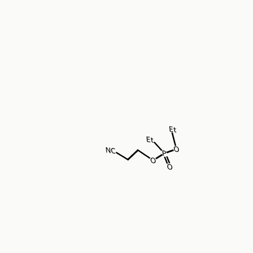 CCOP(=O)(CC)OCCC#N